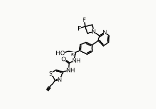 C#Cc1nc(NC(=O)N[C@@H](CO)c2ccc(-c3cccnc3N3CC(F)(F)C3)cc2)cs1